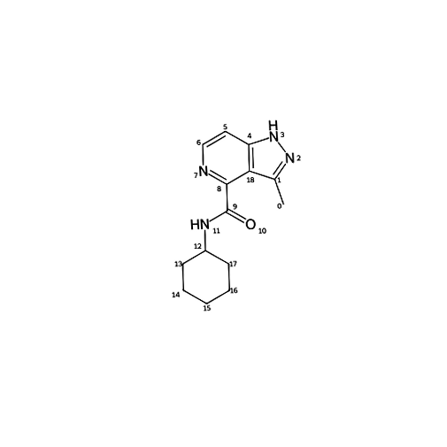 Cc1n[nH]c2ccnc(C(=O)NC3CCCCC3)c12